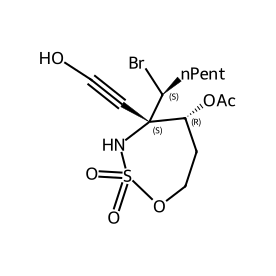 CCCCC[C@H](Br)[C@@]1(C#CO)NS(=O)(=O)OCC[C@H]1OC(C)=O